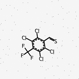 FC(F)(F)c1c(Cl)c(Cl)c(C=S)c(Cl)c1Cl